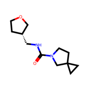 O=C(NC[C@@H]1CCOC1)N1CCC2(CC2)C1